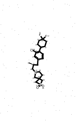 C[C@@H](Cc1ccc(C2CCC(F)(F)CC2)c(Cl)c1)CN1CCC2(C1)CS(=O)(=O)C2